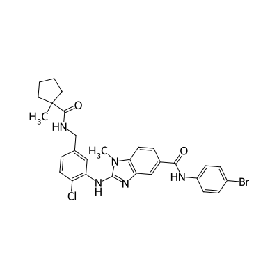 Cn1c(Nc2cc(CNC(=O)C3(C)CCCC3)ccc2Cl)nc2cc(C(=O)Nc3ccc(Br)cc3)ccc21